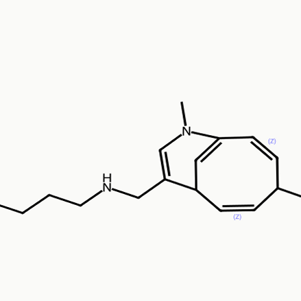 CCCCNCC1=CN(C)C2=CC1/C=C\C(F)/C=C\2